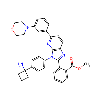 COC(=O)c1ccccc1-c1nc2ccc(-c3cccc(N4CCOCC4)c3)nc2n1-c1ccc(C2(N)CCC2)cc1